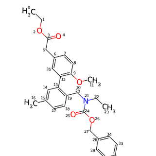 CCOC(=O)Cc1ccc(OC)c(-c2cc(C)ccc2CN(CC)C(=O)OCc2ccc(Cl)cc2)c1